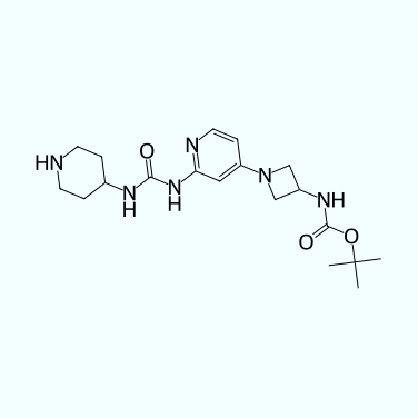 CC(C)(C)OC(=O)NC1CN(c2ccnc(NC(=O)NC3CCNCC3)c2)C1